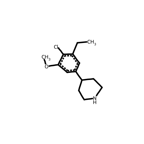 CCc1cc(C2CCNCC2)cc(OC)c1Cl